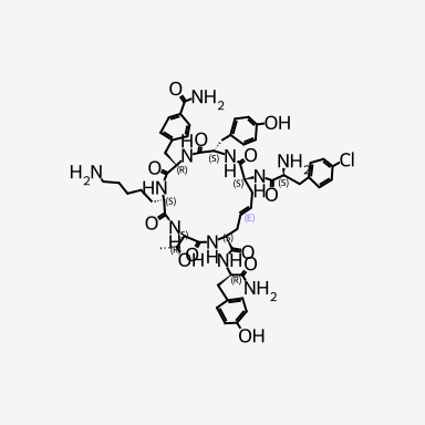 C[C@@H](O)[C@@H]1NC(=O)[C@H](CCCCCN)NC(=O)[C@@H](Cc2ccc(C(N)=O)cc2)NC(=O)[C@H](Cc2ccc(O)cc2)NC(=O)[C@@H](NC(=O)[C@@H](N)Cc2ccc(Cl)cc2)C/C=C/C[C@@H](C(=O)N[C@H](Cc2ccc(O)cc2)C(N)=O)NC1=O